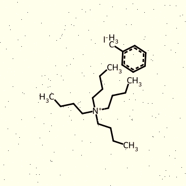 CCCC[N+](CCCC)(CCCC)CCCC.Cc1ccccc1.[I-]